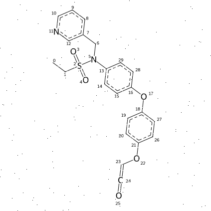 CCS(=O)(=O)N(Cc1cccnc1)c1ccc(Oc2ccc(OC=C=O)cc2)cc1